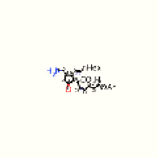 CCCCCC/C=C/[C@H]1[C@H](CN)CC(=O)[C@@H]1C/C=C\CCC(OC(C)=O)C(=O)O